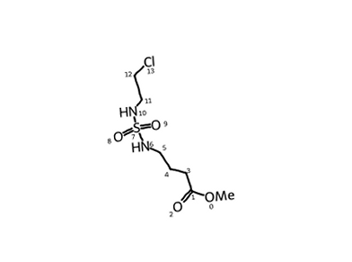 COC(=O)CCCNS(=O)(=O)NCCCl